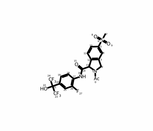 CC(=O)N1Cc2cc(S(C)(=O)=O)ccc2C1C(=O)Nc1ccc(C(O)(C(F)(F)F)C(F)(F)F)cc1F